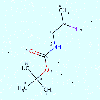 CC(I)CNC(=O)OC(C)(C)C